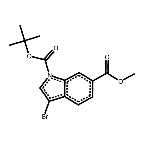 COC(=O)c1ccc2c(Br)cn(C(=O)OC(C)(C)C)c2c1